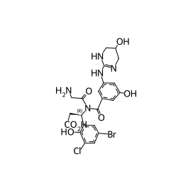 NCC(=O)N(C(=O)c1cc(O)cc(NC2=NCC(O)CN2)c1)[C@H](CC(=O)O)c1cc(Br)cc(Cl)c1O